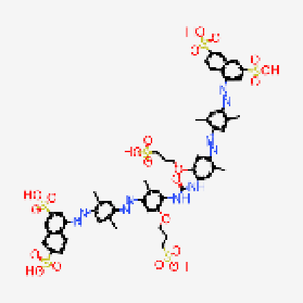 Cc1cc(N=Nc2cc(S(=O)(=O)O)cc3cc(S(=O)(=O)O)ccc23)c(C)cc1N=Nc1cc(OCCCS(=O)(=O)O)c(NC(=O)Nc2cc(C)c(N=Nc3cc(C)c(N=Nc4cc(S(=O)(=O)O)cc5cc(S(=O)(=O)O)ccc45)cc3C)cc2OCCCS(=O)(=O)O)cc1C